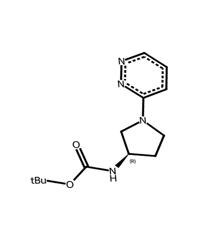 CC(C)(C)OC(=O)N[C@@H]1CCN(c2cccnn2)C1